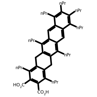 CCCc1c2c(c(CCC)c(C(=O)O)c1C(=O)O)Cc1c(c(CCC)c3cc4c(CCC)c(CCC)c(CCC)c(CCC)c4cc3c1CCC)C2